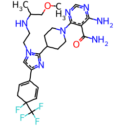 COCC(C)NCCn1cc(C2=CCC(F)(C(F)(F)F)C=C2)nc1C1CCN(c2ncnc(N)c2C(N)=O)CC1